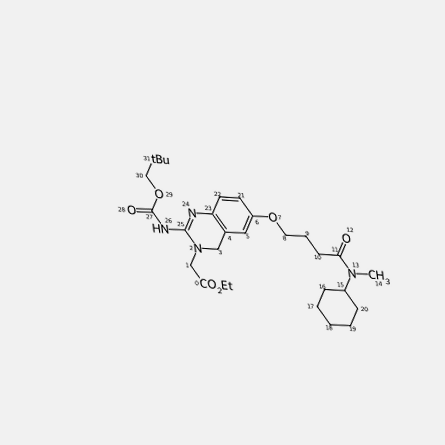 CCOC(=O)CN1Cc2cc(OCCCC(=O)N(C)C3CCCCC3)ccc2N=C1NC(=O)OCC(C)(C)C